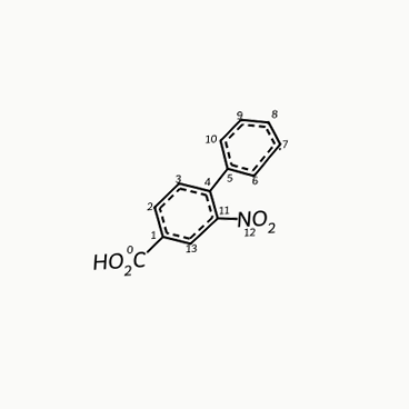 O=C(O)c1ccc(-c2c[c]ccc2)c([N+](=O)[O-])c1